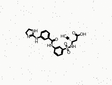 C#C[C@H](CC(=O)O)NS(=O)(=O)c1cccc(NC(=O)c2cccc(NC3=NCCN3)c2)c1